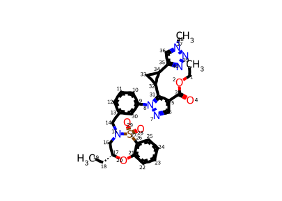 CCOC(=O)c1cnn(-c2cccc(CN3C[C@@H](CC)Oc4ccccc4S3(=O)=O)c2)c1C1CC1c1cn(C)nn1